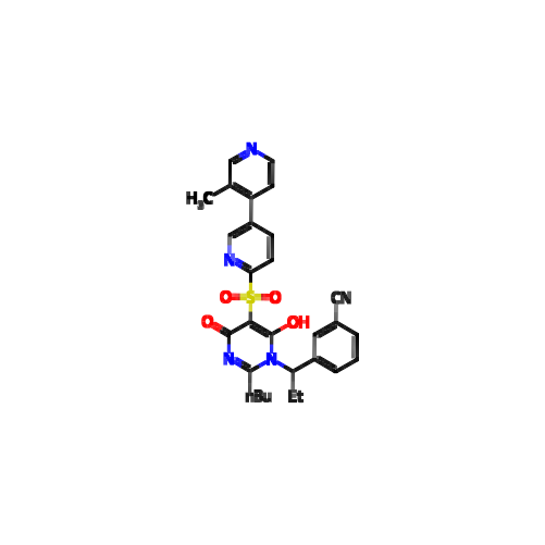 CCCCc1nc(=O)c(S(=O)(=O)c2ccc(-c3ccncc3C)cn2)c(O)n1C(CC)c1cccc(C#N)c1